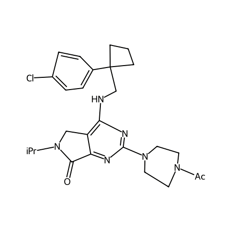 CC(=O)N1CCN(c2nc(NCC3(c4ccc(Cl)cc4)CCC3)c3c(n2)C(=O)N(C(C)C)C3)CC1